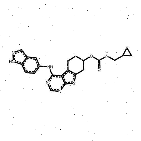 O=C(NCC1CC1)OC1CCc2c(sc3ncnc(Nc4ccc5[nH]ncc5c4)c23)C1